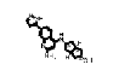 Nc1cc(N[C@@H]2C[C@H]3C[C@@H](O)C[C@H]3C2)c2ccc(-c3ccn[nH]3)cc2n1